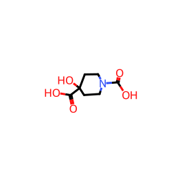 O=C(O)N1CCC(O)(C(=O)O)CC1